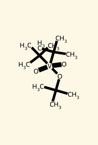 CC(C)(C)[O][V](=[O])(=[O])([C](C)(C)C)[C](C)(C)C